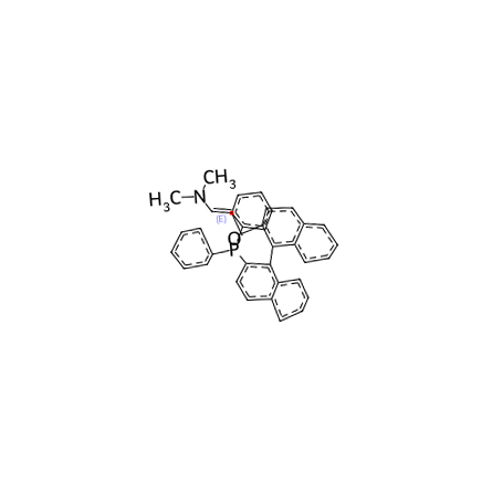 CN(C)/C=C/C(=O)c1ccc2ccccc2c1-c1c(P(c2ccccc2)c2ccccc2)ccc2ccccc12